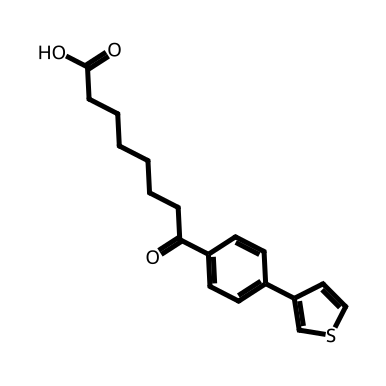 O=C(O)CCCCCCC(=O)c1ccc(-c2ccsc2)cc1